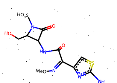 CON=C(C(=O)NC1C(=O)N(S(=O)(=O)O)C1CO)c1csc(N)n1